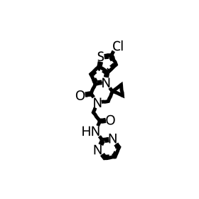 O=C(CN1CC2(CC2)n2c(cc3sc(Cl)cc32)C1=O)Nc1ncccn1